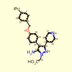 CC(C)c1ccc(COc2ccc(-c3c(-c4ccncc4)nn(CC(=O)O)c3N)cc2)cc1